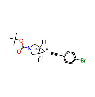 CC(C)(C)OC(=O)N1C[C@@H]2[C@@H](C#Cc3ccc(Br)cc3)[C@@H]2C1